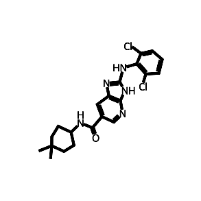 CC1(C)CCC(NC(=O)c2cnc3[nH]c(Nc4c(Cl)cccc4Cl)nc3c2)CC1